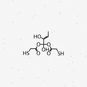 CC=C(O)C(O)(OC(=O)CS)OC(=O)CS